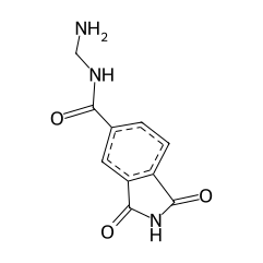 NCNC(=O)c1ccc2c(c1)C(=O)NC2=O